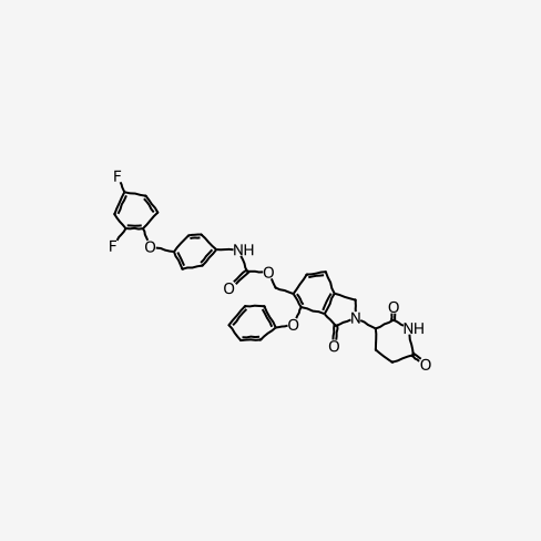 O=C1CCC(N2Cc3ccc(COC(=O)Nc4ccc(Oc5ccc(F)cc5F)cc4)c(Oc4ccccc4)c3C2=O)C(=O)N1